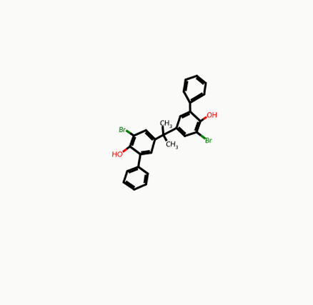 CC(C)(c1cc(Br)c(O)c(-c2ccccc2)c1)c1cc(Br)c(O)c(-c2ccccc2)c1